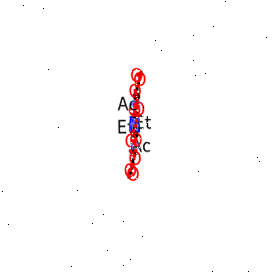 C=CC(=O)OCCCCOc1ccc(/C=C(\C(C)=O)C(=O)Oc2ccc(/C(CC)=N/N=C(\CC)c3ccc(OC(=O)/C(=C/c4ccc(OCCCCOC(=O)C=C)cc4)C(C)=O)cc3)cc2)cc1